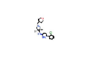 Clc1ccccc1-c1ccc(N[C@@H]2[C@@H]3CN(CC4CCOCC4)C[C@@H]32)nn1